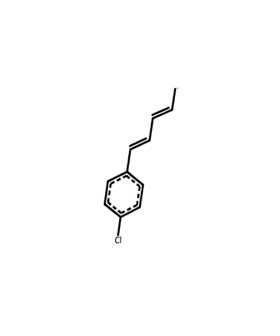 [CH2]C=CC=Cc1ccc(Cl)cc1